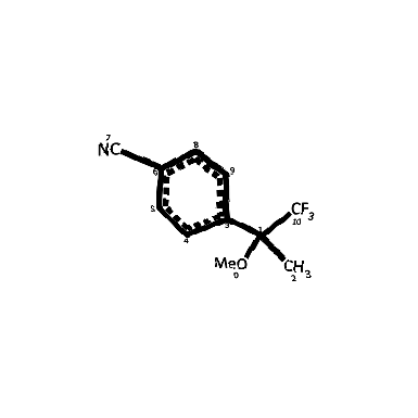 COC(C)(c1ccc(C#N)cc1)C(F)(F)F